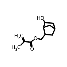 C=C(C)C(=O)OCC1CC2CC(O)C1C2